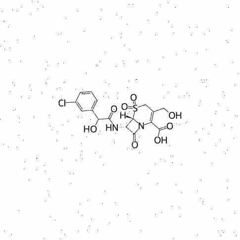 O=C(O)C1=C(CO)CS(=O)(=O)[C@H]2[C@@H](NC(=O)C(O)c3cccc(Cl)c3)C(=O)N12